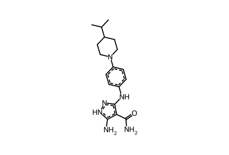 CC(C)C1CCN(c2ccc(Nc3n[nH]c(N)c3C(N)=O)cc2)CC1